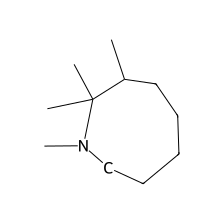 CC1CCCCCN(C)C1(C)C